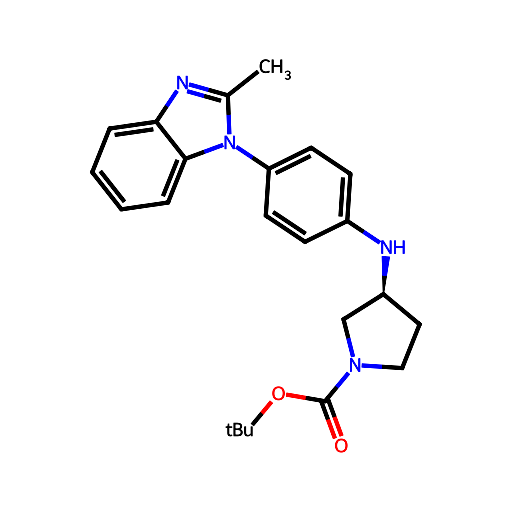 Cc1nc2ccccc2n1-c1ccc(N[C@H]2CCN(C(=O)OC(C)(C)C)C2)cc1